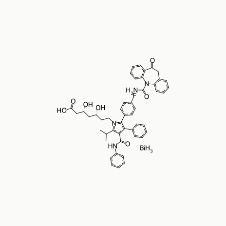 CC(C)c1c(C(=O)Nc2ccccc2)c(-c2ccccc2)c(-c2ccc(F)cc2)n1CC[C@@H](O)C[C@@H](O)CC(=O)O.NC(=O)N1c2ccccc2CC(=O)c2ccccc21.[BiH3]